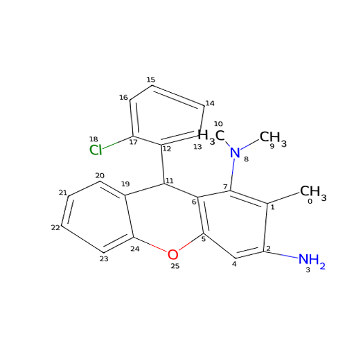 Cc1c(N)cc2c(c1N(C)C)C(c1ccccc1Cl)c1ccccc1O2